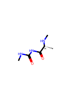 CNC(=O)NC(=O)[C@@H](C)NC